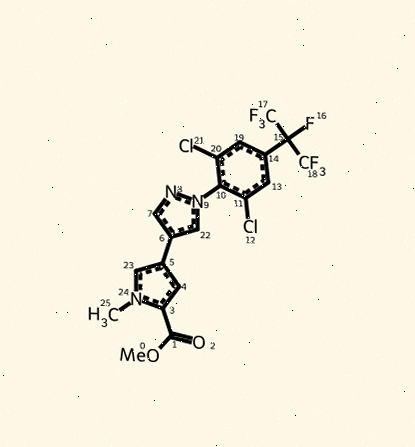 COC(=O)c1cc(-c2cnn(-c3c(Cl)cc(C(F)(C(F)(F)F)C(F)(F)F)cc3Cl)c2)cn1C